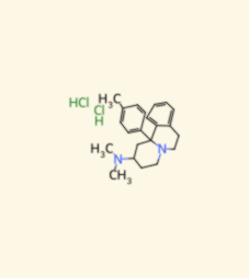 Cc1ccc(C23CC(N(C)C)CCN2CCc2ccccc23)cc1.Cl.Cl